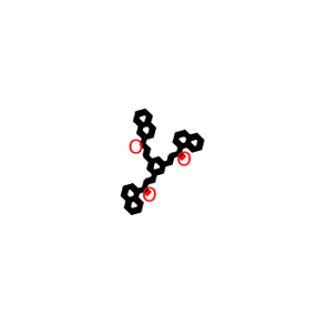 O=C(/C=C/c1cc(/C=C/C(=O)c2cccc3ccccc23)cc(/C=C/C(=O)c2cccc3ccccc23)c1)c1ccc2ccccc2c1